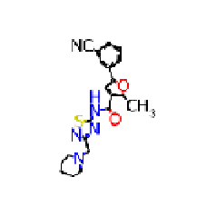 Cc1oc(-c2cccc(C#N)c2)cc1C(=O)Nc1nc(CN2CCCCC2)ns1